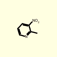 Cc1ncccc1[N+](=O)[O-]